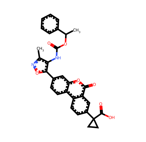 Cc1noc(-c2ccc3c(c2)oc(=O)c2cc(C4(C(=O)O)CC4)ccc23)c1NC(=O)OC(C)c1ccccc1